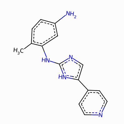 Cc1ccc(N)cc1Nc1ncc(-c2ccncc2)[nH]1